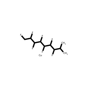 CC(C)C(F)C(F)C(F)C(F)C(F)C(F)CF.[Cu]